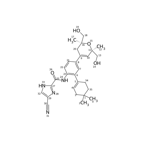 CC1(C)CC=C(c2cc(C3=C[C@](C)(CO)O[C@](C)(CO)C3)ccc2NC(=O)c2nc(C#N)c[nH]2)CC1